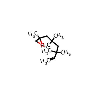 C=CC(C)(C)CC(C)(C)CC1(C)CO1